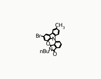 CCCCN1C(=O)c2cccc(-n3c4ccc(C)cc4c4cc(Br)ccc43)c2C1=O